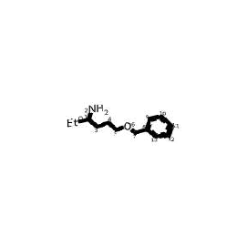 CCC(N)CCCOCc1ccccc1